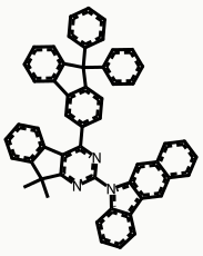 CC1(C)c2ccccc2-c2c(-c3ccc4c(c3)-c3ccccc3C4(c3ccccc3)c3ccccc3)nc(-n3c4ccccc4c4cc5ccccc5cc43)nc21